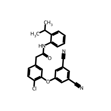 CC(C)c1ccccc1NC(=O)Cc1ccc(Cl)c(Oc2cc(C#N)cc(C#N)c2)c1